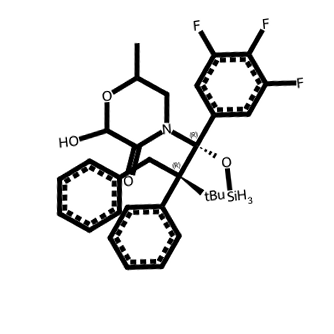 CC1CN([C@@](O[SiH3])(c2cc(F)c(F)c(F)c2)[C@@](Cc2ccccc2)(c2ccccc2)C(C)(C)C)C(=O)C(O)O1